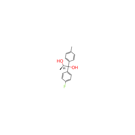 Cc1ccc(C(O)(c2ccc(F)cc2)[C@@H](C)O)cc1